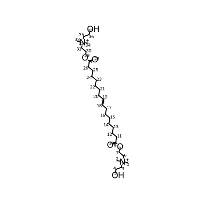 C[N+](C)(CCO)CCOC(=O)CCCCCCC/C=C/CCCCCCCC(=O)OCC[N+](C)(C)CCO